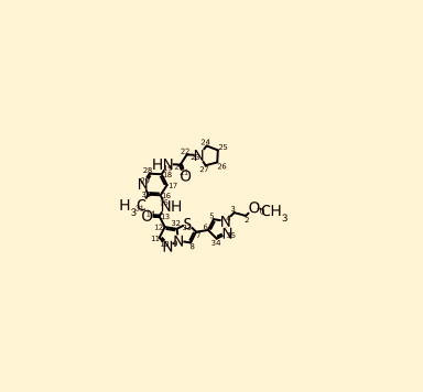 COCCn1cc(-c2cn3ncc(C(=O)Nc4cc(NC(=O)CN5CCCC5)cnc4C)c3s2)cn1